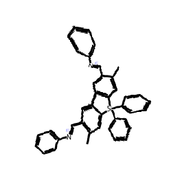 Cc1cc2c(cc1/C=N/c1ccccc1)-c1cc(/C=N/c3ccccc3)c(C)cc1[Si]2(c1ccccc1)c1ccccc1